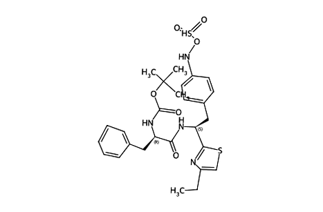 CCc1csc([C@H](Cc2ccc(NO[SH](=O)=O)cc2)NC(=O)[C@@H](Cc2ccccc2)NC(=O)OC(C)(C)C)n1